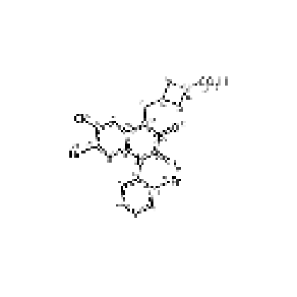 CC(C)c1ccccc1-n1c(=O)c(=O)n(CC2CN(C(=O)O)C2)c2cc(Cl)c(Br)cc21